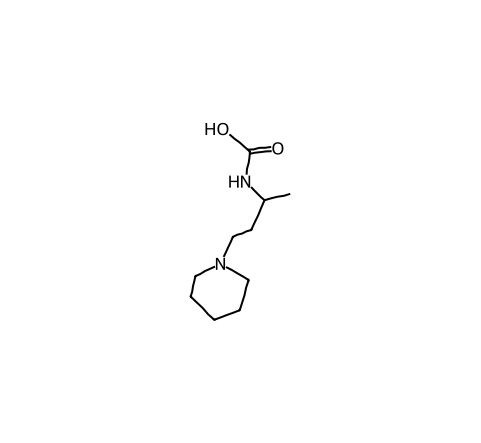 CC(CCN1CCCCC1)NC(=O)O